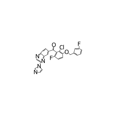 O=C(c1ccc2ncc(-n3ccnc3)nc2c1)c1c(F)ccc(OCc2cccc(F)c2)c1Cl